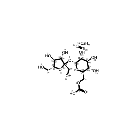 O=C(O)OC[C@H]1O[C@H](O[C@]2(CO)O[C@H](CO)[C@@H](O)[C@@H]2O)[C@H](O)[C@@H](O)[C@@H]1O.[CaH2].[O]=[Ti]